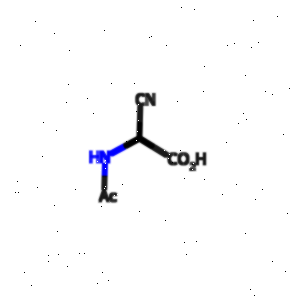 CC(=O)NC(C#N)C(=O)O